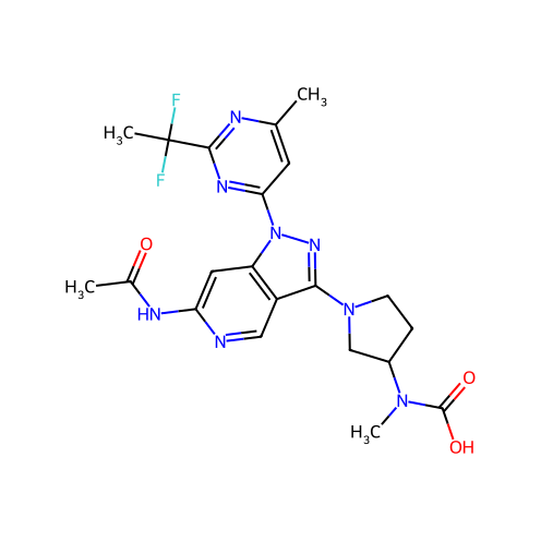 CC(=O)Nc1cc2c(cn1)c(N1CCC(N(C)C(=O)O)C1)nn2-c1cc(C)nc(C(C)(F)F)n1